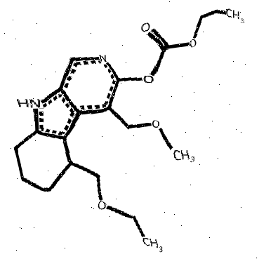 CCOCC1CCCc2[nH]c3cnc(OC(=O)OCC)c(COC)c3c21